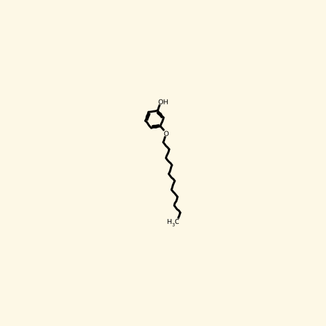 CCCCCCCCCCCOc1cccc(O)c1